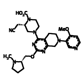 COc1ccncc1N1CCc2c(nc(OC[C@@H]3CCCN3C)nc2N2CCN(C(=O)O)[C@@H](CC#N)C2)C1